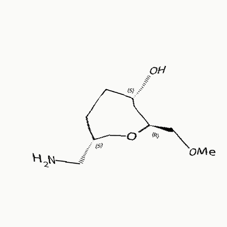 COC[C@H]1O[C@H](CN)CC[C@@H]1O